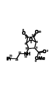 COC(=O)C1C2OC(C(=O)C2=O)C1NCCC(C)C